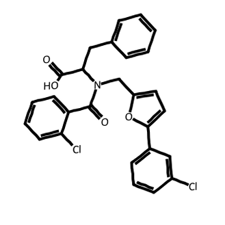 O=C(O)C(Cc1ccccc1)N(Cc1ccc(-c2cccc(Cl)c2)o1)C(=O)c1ccccc1Cl